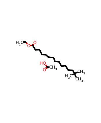 C=COC(=O)CCCCCCCCCCCCC(C)(C)C.CC(=O)O